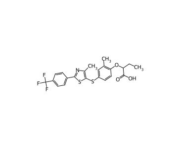 CCC(Oc1ccc(Sc2sc(-c3ccc(C(F)(F)F)cc3)nc2C)cc1C)C(=O)O